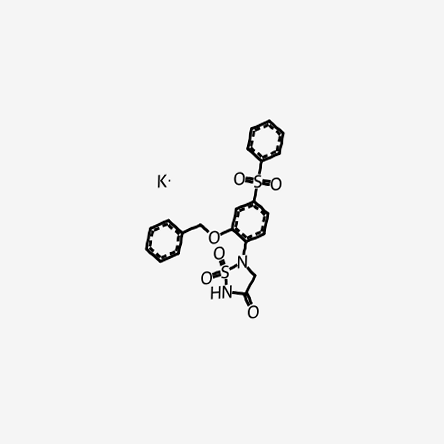 O=C1CN(c2ccc(S(=O)(=O)c3ccccc3)cc2OCc2ccccc2)S(=O)(=O)N1.[K]